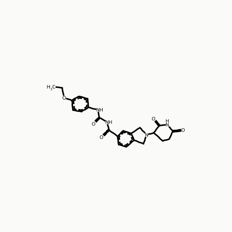 CCOc1ccc(NC(=O)NC(=O)c2ccc3c(c2)CN(C2CCC(=O)NC2=O)C3)cc1